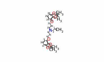 C=CCN(CCCOc1cccc2c1OC(C)(C)O2)CCCOc1cccc2c1OC(C)(C)O2